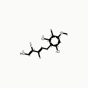 COc1cc(Cl)c(C/C=C(C)/C(F)=C/O)c(Cl)c1C